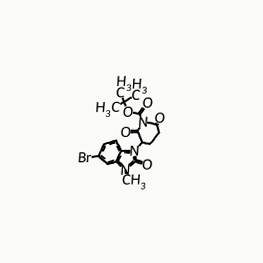 Cn1c(=O)n(C2CCC(=O)N(C(=O)OC(C)(C)C)C2=O)c2ccc(Br)cc21